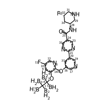 BC(B)(B)C(B)(B)Oc1cc(F)cnc1Oc1cncc(-c2ncc(C(=O)N[C@@H]3CNC[C@@H](F)C3)cn2)c1